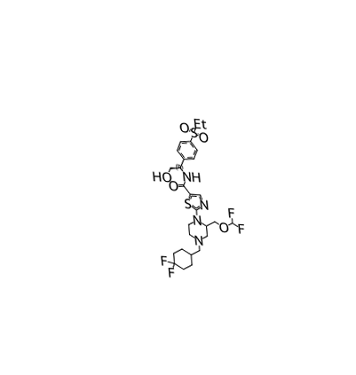 CCS(=O)(=O)c1ccc([C@H](CO)NC(=O)c2cnc(N3CCN(CC4CCC(F)(F)CC4)CC3COC(F)F)s2)cc1